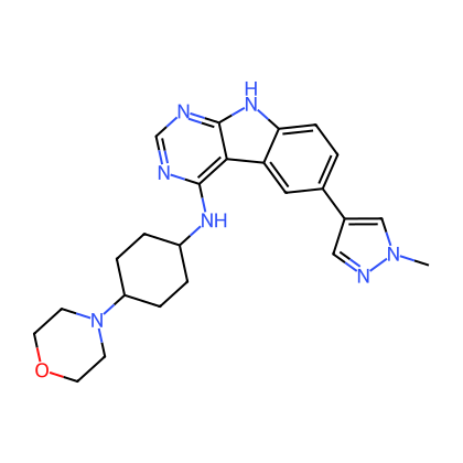 Cn1cc(-c2ccc3[nH]c4ncnc(NC5CCC(N6CCOCC6)CC5)c4c3c2)cn1